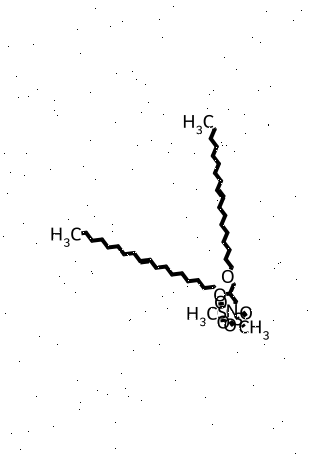 CCCCCCCCC=CCCCCCCCCOCC(CN(S(C)(=O)=O)S(C)(=O)=O)OCCCCCCCCC=CCCCCCCCC